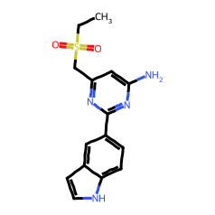 CCS(=O)(=O)Cc1cc(N)nc(-c2ccc3[nH]ccc3c2)n1